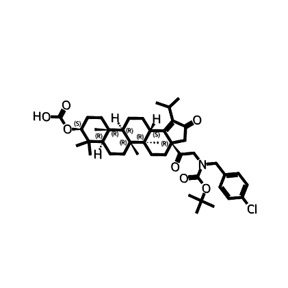 CC(C)C1=C2[C@H]3CC[C@@H]4[C@@]5(C)CC[C@H](OC(=O)O)C(C)(C)[C@@H]5CC[C@@]4(C)[C@]3(C)CC[C@@]2(C(=O)CN(Cc2ccc(Cl)cc2)C(=O)OC(C)(C)C)CC1=O